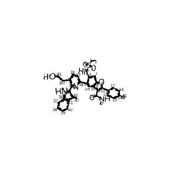 CCS(=O)(=O)Nc1cc2oc(-c3ccc(F)cc3)c(C(=O)NC)c2cc1-c1ccc(CCO)c(-c2[nH]c3ccccc3c2C)n1